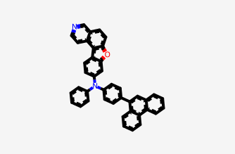 c1ccc(N(c2ccc(-c3cc4ccccc4c4ccccc34)cc2)c2ccc3c(c2)oc2ccc4cnccc4c23)cc1